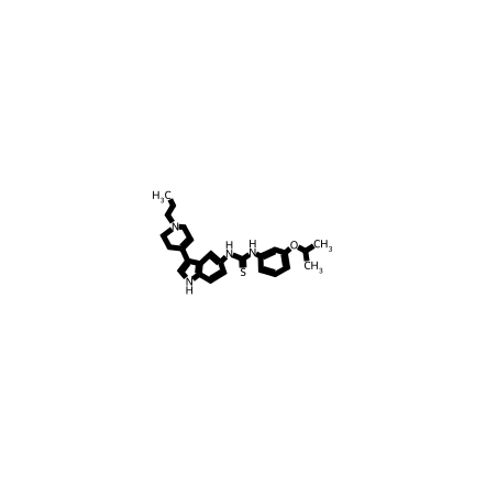 CCCN1CC=C(c2c[nH]c3ccc(NC(=S)Nc4cccc(OC(C)C)c4)cc23)CC1